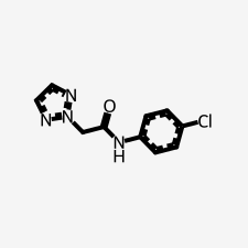 O=C(Cn1nccn1)Nc1ccc(Cl)cc1